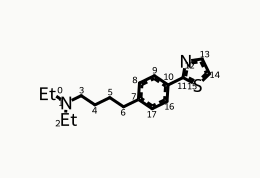 CCN(CC)CCCCc1ccc(-c2nccs2)cc1